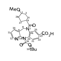 COC1CCC(C(=O)N2Cc3cccnc3N(C(=O)OC(C)(C)C)c3ccc(C(=O)O)cc32)CC1